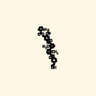 Cc1c(-c2nc3c(o2)CN(CCO)CC3)cccc1-c1cccc(-c2nc3cc(COC(=O)[C@@H]4CCCN4)c(OC(F)F)cc3o2)c1C